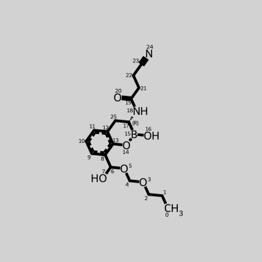 CCCOCOC(O)c1cccc2c1OB(O)[C@@H](NC(=O)CCC#N)C2